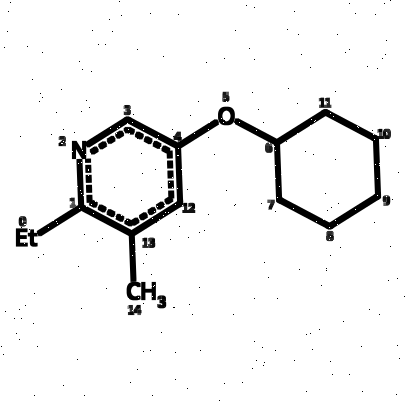 CCc1ncc(OC2CCCCC2)cc1C